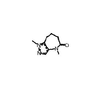 CN1C(=O)CCCc2c1cnn2C